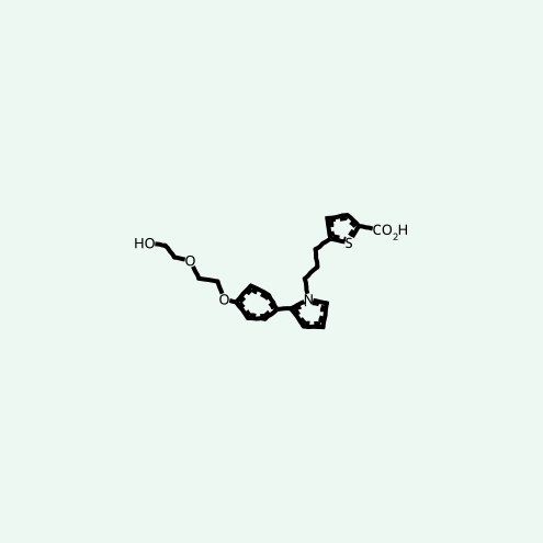 O=C(O)c1ccc(CCCn2cccc2-c2ccc(OCCOCCO)cc2)s1